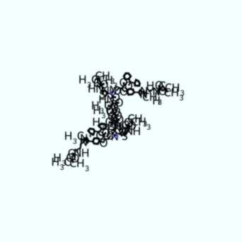 C[n+]1cc(-c2ccc(OC(CO/N=C(\C(=O)N[C@@H]3C(=O)N(OS(=O)(=O)ON4C(=O)[C@@H](NC(=O)/C(=N\OCC(Oc5ccc(-c6cn(CCCNC(=O)OC(C)(C)C)[n+](C)c6)cc5)C(=O)OC(c5ccccc5)c5ccccc5)c5csc(NC(=O)OC(C)(C)C)n5)C4(C)C)C3(C)C)c3csc(NC(=O)OC(C)(C)C)n3)C(=O)OC(c3ccccc3)c3ccccc3)cc2)cn1CCCNC(=O)OC(C)(C)C